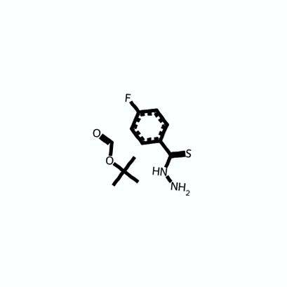 CC(C)(C)OC=O.NNC(=S)c1ccc(F)cc1